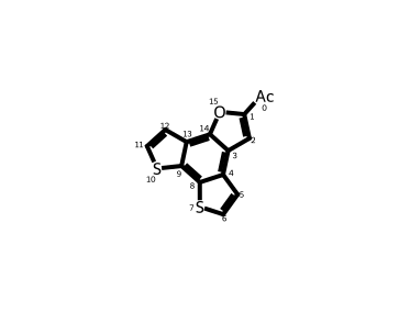 CC(=O)c1cc2c3ccsc3c3sccc3c2o1